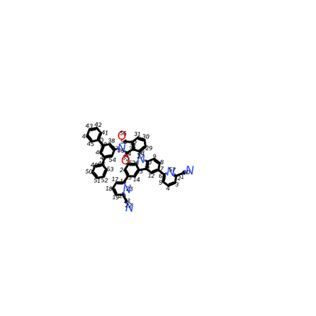 N#Cc1cccc(-c2ccc3c(c2)c2cc(-c4cccc(C#N)n4)ccc2n3-c2cccc3c2C(=O)N(c2cc(-c4ccccc4)cc(-c4ccccc4)c2)C3=O)n1